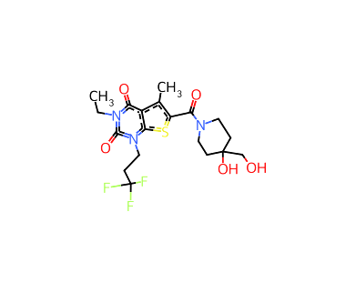 CCn1c(=O)c2c(C)c(C(=O)N3CCC(O)(CO)CC3)sc2n(CCC(F)(F)F)c1=O